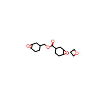 C1COC1.O=C(OCC1CCC2OC2C1)C1CCC2OC2C1